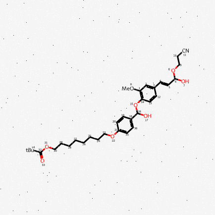 COc1cc(/C=C/C(O)OCCC#N)ccc1OC(O)c1ccc(OCCCCCCCCOC(=O)C(C)(C)C)cc1